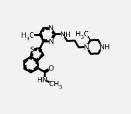 CNC(=O)c1cccc2sc(-c3nc(NCCCN4CCNC[C@@H]4C)ncc3C)cc12